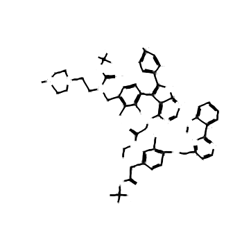 CCOC(=O)[C@@H](Cc1cc(CC(=O)OC(C)(C)C)ccc1OCc1ccnc(-c2ccccc2OC)n1)Oc1ncnc2sc(-c3ccc(F)cc3)c(-c3ccc(CN(CCN4CCN(C)CC4)C(=O)OC(C)(C)C)c(Cl)c3C)c12